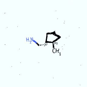 C[C@@H]1CCC[C@H]1CN